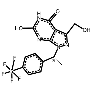 C[C@H](c1ccc(S(F)(F)(F)(F)F)cc1)n1nc(CO)c2c(=O)[nH]c(O)nc21